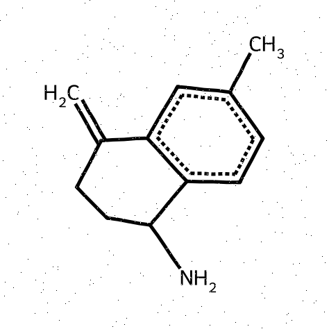 C=C1CCC(N)c2ccc(C)cc21